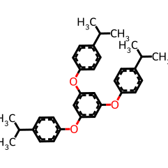 CC(C)c1ccc(Oc2cc(Oc3ccc(C(C)C)cc3)cc(Oc3ccc(C(C)C)cc3)c2)cc1